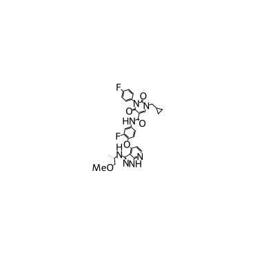 COC[C@H](C)Nc1n[nH]c2nccc(Oc3ccc(NC(=O)c4cn(CC5CC5)c(=O)n(-c5ccc(F)cc5)c4=O)cc3F)c12